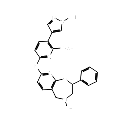 COc1nc(Nc2ccc3c(n2)OC(c2ccccc2)CN(C)C3)ccc1-c1cnn(C)c1